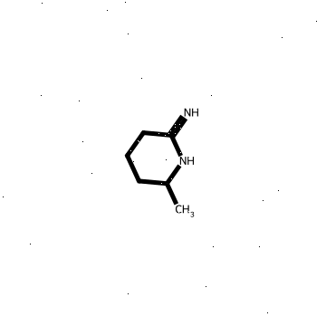 CC1CCCC(=N)N1